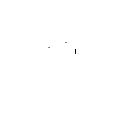 CF.c1ccc2ncccc2c1